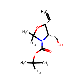 C=C[C@H]1OC(C)(C)N(C(=O)OC(C)(C)C)[C@H]1CO